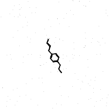 [CH2]C=CCc1ccc(CCC)cc1